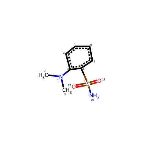 CN(C)c1ccccc1S(N)(=O)=O